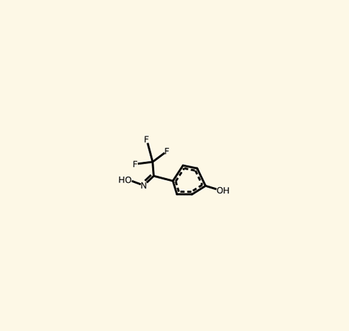 ON=C(c1ccc(O)cc1)C(F)(F)F